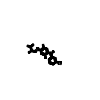 Cc1cc(N(C)c2cccc(Cl)c2)c(C)cc1N=CN(C)C(C)C